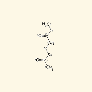 CCC(=O)NCSC(C)=O